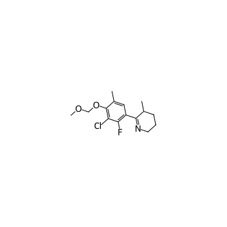 COCOc1c(C)cc(C2=NCCCC2C)c(F)c1Cl